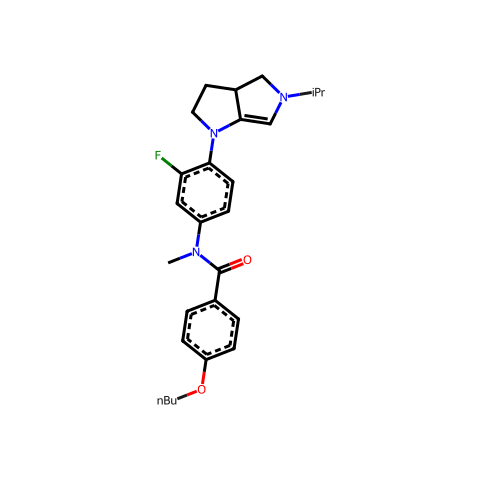 CCCCOc1ccc(C(=O)N(C)c2ccc(N3CCC4CN(C(C)C)C=C43)c(F)c2)cc1